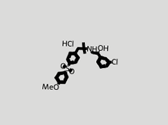 COc1ccc(S(=O)(=O)c2ccc(CC(C)(C)NC[C@H](O)c3cccc(Cl)c3)cc2)cc1.Cl